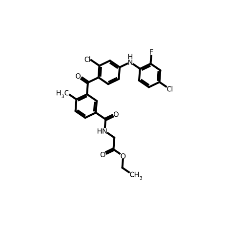 CCOC(=O)CNC(=O)c1ccc(C)c(C(=O)c2ccc(Nc3ccc(Cl)cc3F)cc2Cl)c1